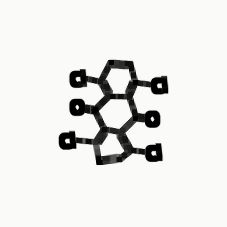 O=C1c2c(Cl)ccc(Cl)c2C(=O)c2c(Cl)ccc(Cl)c21